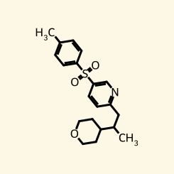 Cc1ccc(S(=O)(=O)c2ccc(CC(C)C3CCOCC3)nc2)cc1